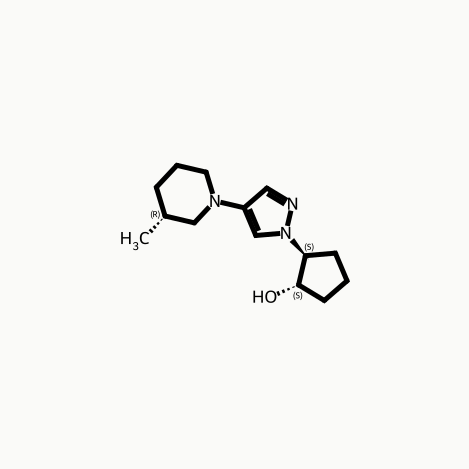 C[C@@H]1CCCN(c2cnn([C@H]3CCC[C@@H]3O)c2)C1